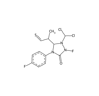 CC(C=S)C1N(c2ccc(F)cc2)C(=O)N(F)N1C(Cl)Cl